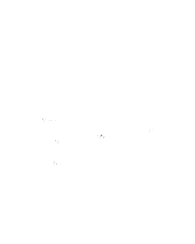 COc1c[c]([Na])nc(OC)c1.O.O=C(O)c1ccccc1.O=C(O)c1ccccc1